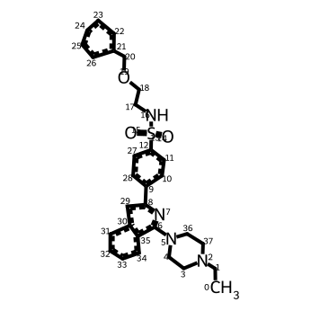 CCN1CCN(c2nc(-c3ccc(S(=O)(=O)NCCOCc4ccccc4)cc3)cc3ccccc23)CC1